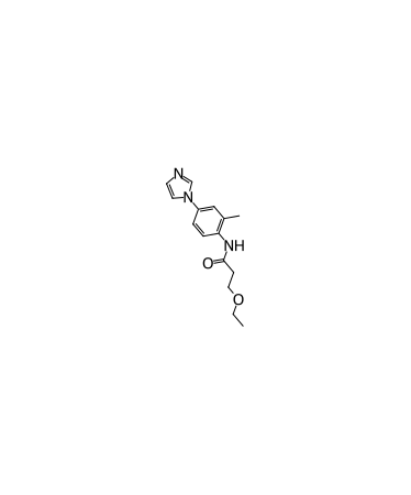 CCOCCC(=O)Nc1ccc(-n2ccnc2)cc1C